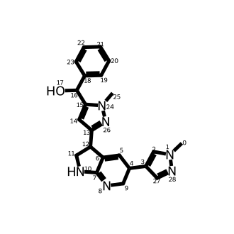 Cn1cc(C2C=C3C(=NC2)NCC3c2cc(C(O)c3ccccc3)n(C)n2)cn1